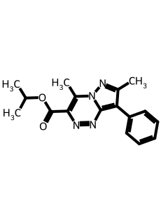 Cc1nn2c(C)c(C(=O)OC(C)C)nnc2c1-c1ccccc1